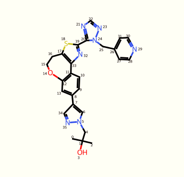 CC(C)(O)Cn1cc(-c2ccc3c(c2)OCCc2sc(-c4ncnn4Cc4ccncc4)nc2-3)cn1